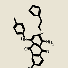 Cc1ccc(Nc2cc(OCCc3ccccc3)c(N)c3c2C(=O)c2cc(Cl)ccc2C3=O)cc1